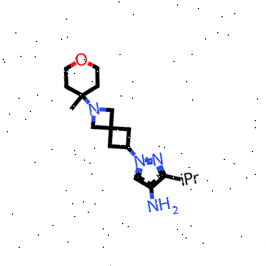 CC(C)c1nn(C2CC3(C2)CN(C2(C)CCOCC2)C3)cc1N